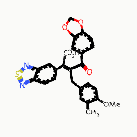 COc1ccc(CC(C(=O)c2ccc3c(c2)OCO3)=C(C(=O)O)c2ccc3nsnc3c2)cc1C